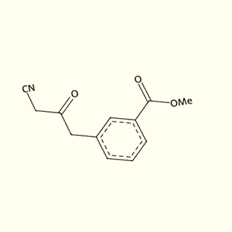 COC(=O)c1cccc(CC(=O)CC#N)c1